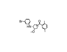 CO[C@@H]1CN(C(=O)c2cc(C)ccc2C)C[C@H]1Nc1cccc(Br)c1